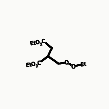 CCOOCC(CC(=O)OCC)C(=O)OCC